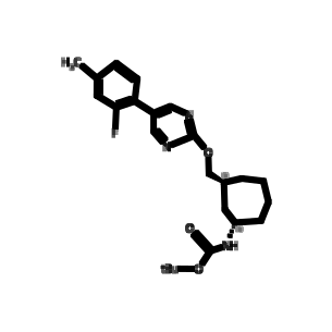 Cc1ccc(-c2cnc(OC[C@H]3CCCC[C@H](NC(=O)OC(C)(C)C)C3)nc2)c(F)c1